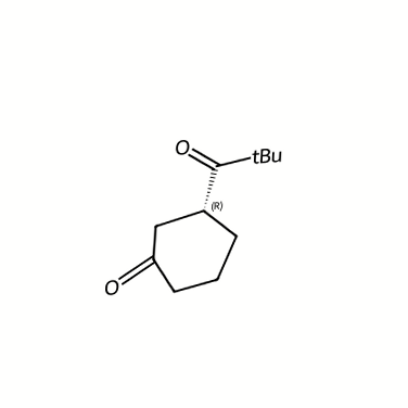 CC(C)(C)C(=O)[C@@H]1CCCC(=O)C1